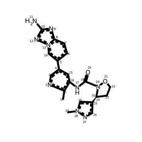 Cc1ncc(-c2ccc3nc(N)nn3c2)cc1NC(=O)N1OCC[C@H]1c1cnn(C)c1